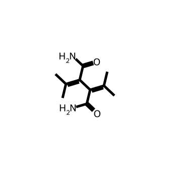 CC(C)=C(C(N)=O)C(C(N)=O)=C(C)C